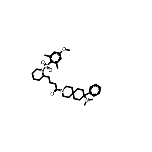 COc1cc(C)c(S(=O)(=O)N2CCCCC2CCCC(=O)N2CCC3(CC2)CCC(c2ccccc2)(N(C)C)CC3)c(C)c1